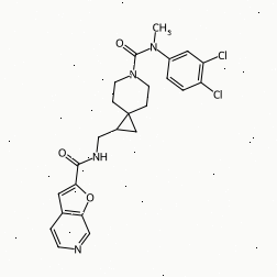 CN(C(=O)N1CCC2(CC1)CC2CNC(=O)c1cc2ccncc2o1)c1ccc(Cl)c(Cl)c1